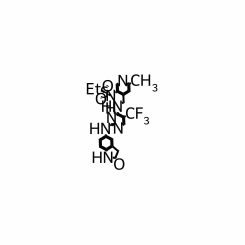 CCS(=O)(=O)Nc1cnc(C)cc1CNc1nc(Nc2ccc3c(c2)CC(=O)N3)ncc1C(F)(F)F